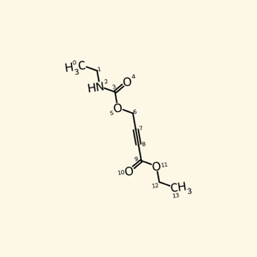 CCNC(=O)OCC#CC(=O)OCC